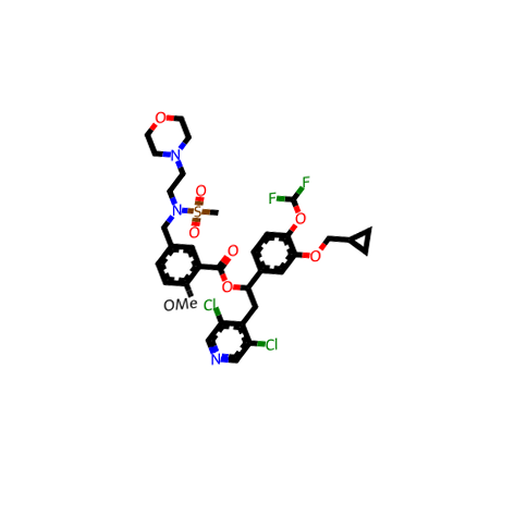 COc1ccc(CN(CCN2CCOCC2)S(C)(=O)=O)cc1C(=O)OC(Cc1c(Cl)cncc1Cl)c1ccc(OC(F)F)c(OCC2CC2)c1